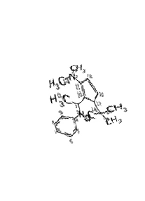 CC(C(=O)c1ccccc1)C1=C(N(C)C)C=CC1C(C)(C)C